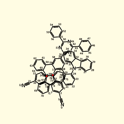 N#Cc1ccc2c(c1)c1cc(C#N)ccc1n2-c1c(-c2ccccc2-n2c3ccccc3c3ccccc32)cc(-c2nc(-c3ccccc3)nc(-c3ccccc3)n2)cc1-c1ccccc1-n1c2ccccc2c2ccccc21